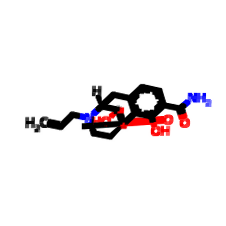 C=CCN1CC[C@]23CC(=O)CC[C@@]2(O)[C@H]1Cc1ccc(C(N)=O)c(O)c13